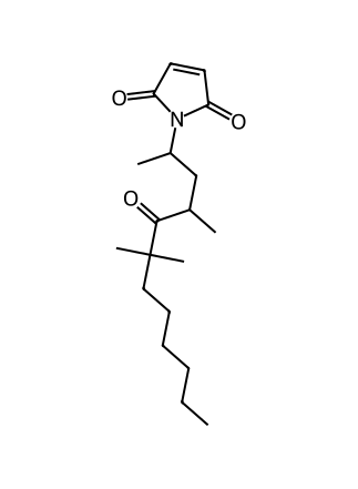 CCCCCCC(C)(C)C(=O)C(C)CC(C)N1C(=O)C=CC1=O